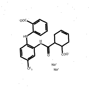 O=C([O-])c1ccccc1Nc1ccc(C(F)(F)F)cc1NC(=O)C1CC=CCC1C(=O)[O-].[Na+].[Na+]